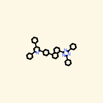 c1ccc(-c2cc(-c3ccccc3)nc(-c3ccc(-c4cccc5c(-c6nc(-c7ccccc7)nc(-c7ccccc7)n6)cccc45)cc3)c2)cc1